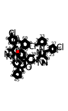 CC(C(=O)C(C)C1(c2ccccc2)CCN(c2nncc3c(-c4ccc(Cl)cc4)n(-c4ccccc4Cl)nc23)CC1)C1(c2ccccc2)CCN(c2nncc3c(-c4ccc(Cl)cc4)n(-c4ccccc4Cl)nc23)CC1